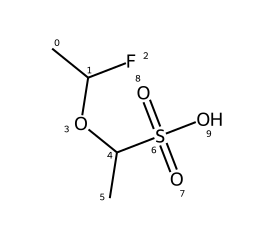 CC(F)OC(C)S(=O)(=O)O